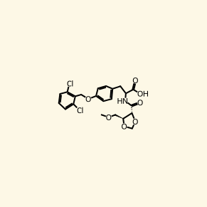 COC[C@@H]1OCO[C@H]1C(=O)NC(Cc1ccc(OCc2c(Cl)cccc2Cl)cc1)C(=O)O